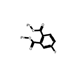 CC(C)OC(=O)c1ccc(F)cc1C(=O)OC(C)C